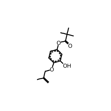 C=C(C)COc1ccc(OC(=O)C(C)(C)C)cc1O